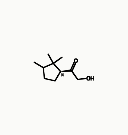 CC1CC[C@H](C(=O)CO)C1(C)C